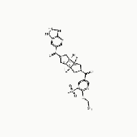 CS(=O)(=O)c1cc(C(=O)N2C[C@@H]3[C@H]4CN(C(=O)c5ccc6c(c5)NNN6)C[C@H]4[C@@H]3C2)cnc1OCC(F)(F)F